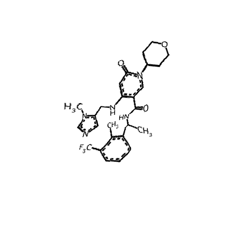 Cc1c(C(C)NC(=O)c2cn(C3CCOCC3)c(=O)cc2NCc2cncn2C)cccc1C(F)(F)F